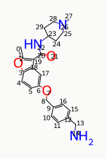 Cc1oc2ccc(OCc3ccc(CN)cc3)cc2c1C(=O)NC1CCN(C)CC1